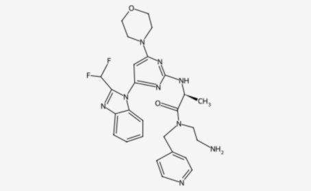 C[C@H](Nc1nc(N2CCOCC2)cc(-n2c(C(F)F)nc3ccccc32)n1)C(=O)N(CCN)Cc1ccncc1